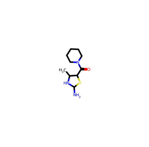 CC1NC(N)SC1C(=O)N1CCCCC1